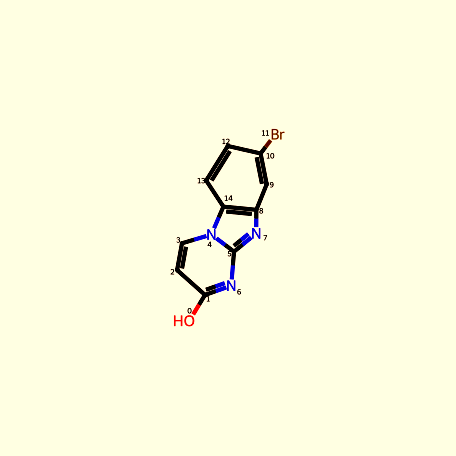 Oc1ccn2c(n1)nc1cc(Br)ccc12